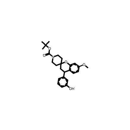 COc1ccc2c(c1)OC1(CCN(C(=O)OC(C)(C)C)CC1)CC2c1cccc(O)c1